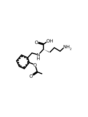 CC(=O)Oc1ccccc1CN[C@@H](CCCN)C(=O)O